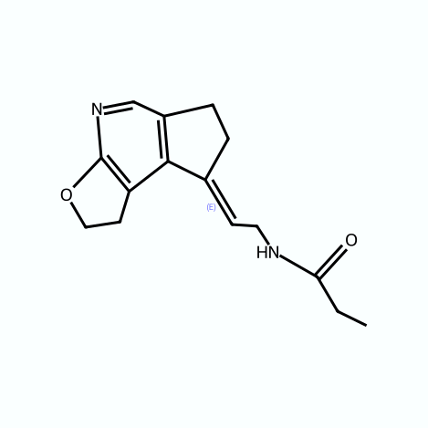 CCC(=O)NC/C=C1\CCc2cnc3c(c21)CCO3